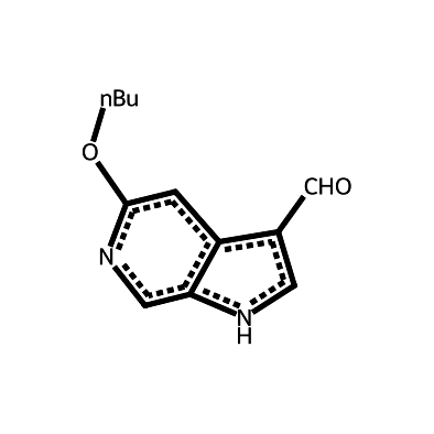 CCCCOc1cc2c(C=O)c[nH]c2cn1